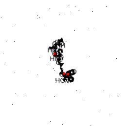 C=C[C@@H](C)C(C)(NC(=O)[C@@H]1CCCN1C(=O)[C@@H](NC(=O)OC1C[C@H]1CCCCCc1c(O)nc2ccccc2c1OC1C2COCC1CN(CCOC)C2)C(C)(C)C)C(=O)NS(=O)(=O)C1(C)CC1